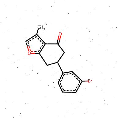 Cc1coc2c1C(=O)CC(c1cccc(Br)c1)C2